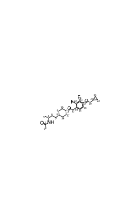 CC(=O)N[C@@H](C)CC[C@H]1CC[C@H](OCc2ccc(OCC3CC3)c(F)c2F)CC1